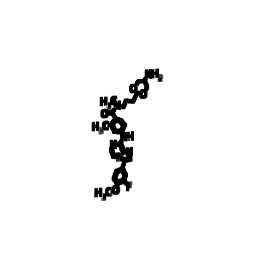 COc1ccc(-c2cnc3c(Nc4ccc(C(=O)N(C)CCCC5OCC(N)CO5)c(C)c4)nccn23)cc1F